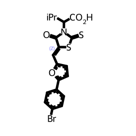 CC(C)C(C(=O)O)N1C(=O)/C(=C/c2ccc(-c3ccc(Br)cc3)o2)SC1=S